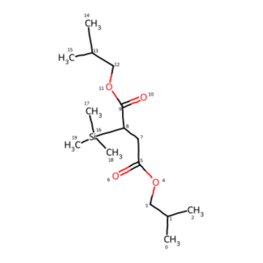 CC(C)COC(=O)CC(C(=O)OCC(C)C)[Si](C)(C)C